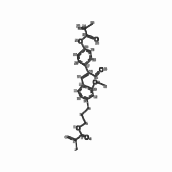 C=C(C)C(=O)OCCCc1ccc(/C=C(\C=O)c2ccc(OC(=O)C(=C)C)cc2)c(OC)c1